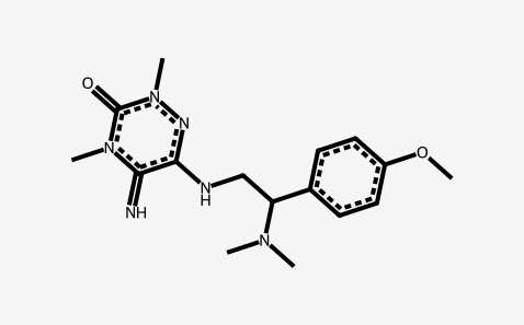 COc1ccc(C(CNc2nn(C)c(=O)n(C)c2=N)N(C)C)cc1